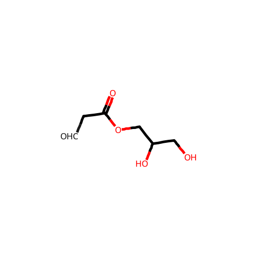 O=CCC(=O)OCC(O)CO